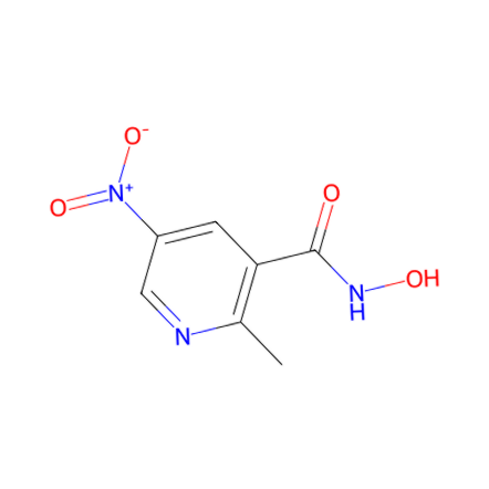 Cc1ncc([N+](=O)[O-])cc1C(=O)NO